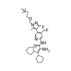 Cc1nn(COCC[Si](C)(C)C)c(C)c1-c1cnc(NC(=O)C(N)=C(C2CCCCC2)C2CCCCC2)cc1C(F)F